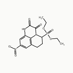 CCOP(=O)(OCC)C1CCc2cc([N+](=O)[O-])cc3[nH]c(=O)c(=O)n1c23